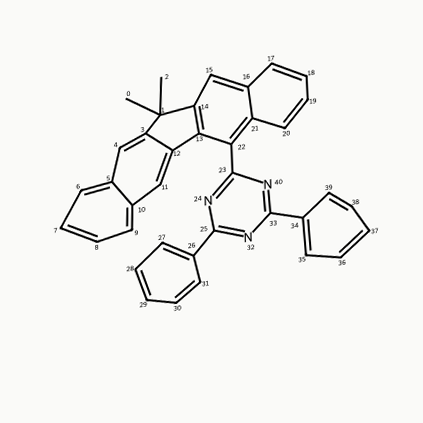 CC1(C)c2cc3ccccc3cc2-c2c1cc1ccccc1c2-c1nc(-c2ccccc2)nc(-c2ccccc2)n1